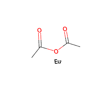 CC(=O)OC(C)=O.[Eu]